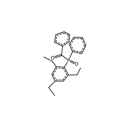 CCc1cc(CC)c(P(=O)(C(=O)c2ccccc2)c2ccccc2)c(CC)c1